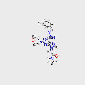 Cc1cccc(/C=N/Nc2nc(N3CCOCC3)nc3c2ncn3CC(=O)N2CCCC2)c1